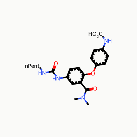 CCCCCNC(=O)Nc1ccc(Oc2ccc(NC(=O)O)cc2)c(C(=O)N(C)C)c1